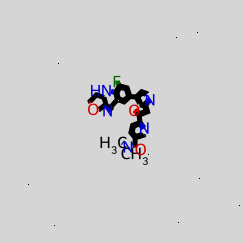 CN(C)C(=O)c1ccc(-c2cc3nccc(-c4cc(F)c(NC5CCOCC5)c(C#N)c4)c3o2)nc1